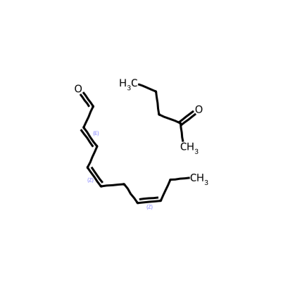 CC/C=C\C/C=C\C=C\C=O.CCCC(C)=O